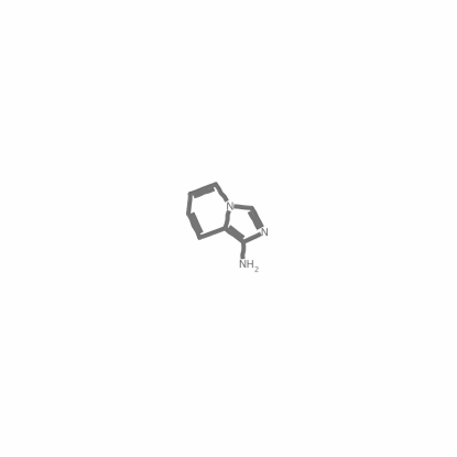 Nc1ncn2ccccc12